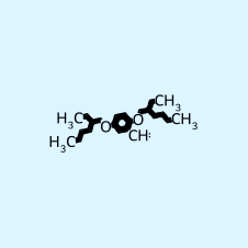 [CH]c1cc(OCC(CC)CCCC)ccc1OCC(CC)CCCC